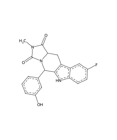 CN1C(=O)C2Cc3c([nH]c4ccc(F)cc34)C(c3cccc(O)c3)N2C1=O